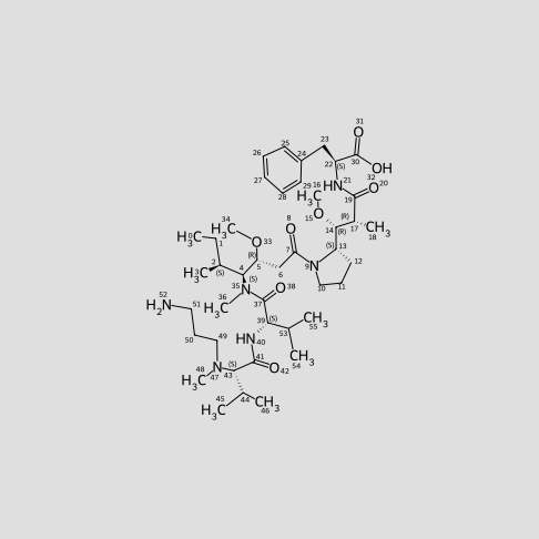 CC[C@H](C)[C@@H]([C@@H](CC(=O)N1CCC[C@H]1[C@H](OC)[C@@H](C)C(=O)N[C@@H](Cc1ccccc1)C(=O)O)OC)N(C)C(=O)[C@@H](NC(=O)[C@H](C(C)C)N(C)CCCN)C(C)C